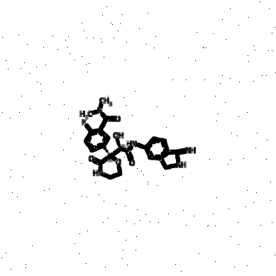 CN(C)C(=O)c1cc([C@]2([C@@H](O)C(=O)Nc3ccc4c(c3)CNC4=N)OCCNC2=O)ccc1F